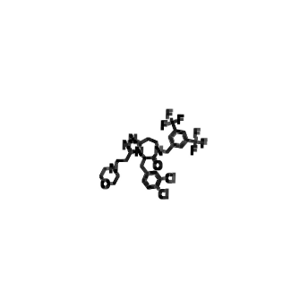 O=C1C(Cc2ccc(Cl)c(Cl)c2)n2c(CCN3CCOCC3)nnc2CCN1Cc1cc(C(F)(F)F)cc(C(F)(F)F)c1